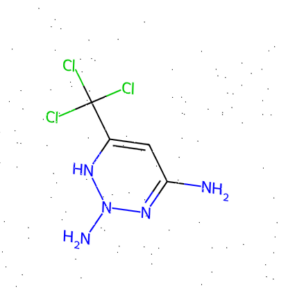 NC1=NN(N)NC(C(Cl)(Cl)Cl)=C1